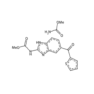 COC(=O)Nc1nc2cc(C(=O)c3cccs3)ccc2[nH]1.COC(N)=O